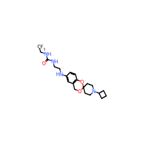 O=C(NCCNc1ccc2c(c1)COC1(CCN(C3CCC3)CC1)O2)NCC(F)(F)F